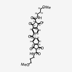 COCCCNC(=O)C1C(=O)c2ccc(C(=O)c3ccc4c(c3)C(=O)C(C(=O)NCCCOC)C4=O)cc2C1=O